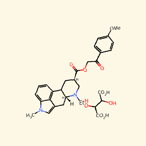 CCN1C[C@H](C(=O)OCC(=O)c2ccc(OC)cc2)CC2c3cccc4c3c(cn4C)C[C@H]21.O=C(O)C(O)C(O)C(=O)O